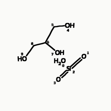 O.O=[Si]=O.OCC(O)CO